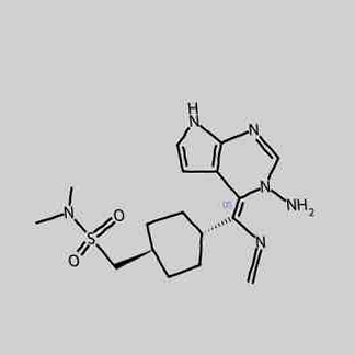 C=N/C(=C1/c2cc[nH]c2N=CN1N)[C@H]1CC[C@H](CS(=O)(=O)N(C)C)CC1